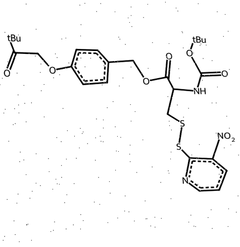 CC(C)(C)OC(=O)NC(CSSc1ncccc1[N+](=O)[O-])C(=O)OCc1ccc(OCC(=O)C(C)(C)C)cc1